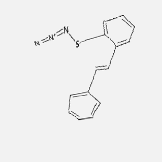 [N-]=[N+]=NSc1ccccc1/C=C/c1ccccc1